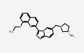 CCOc1cccc2ccc(-c3nnc4ccc(CN5CC[C@H](N)C5)cn34)nc12